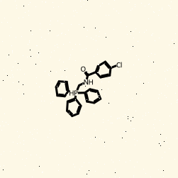 O=C(NC[PH](c1ccccc1)(c1ccccc1)c1ccccc1)c1ccc(Cl)cc1